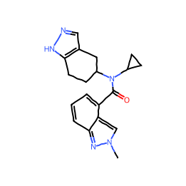 Cn1cc2c(C(=O)N(C3CC3)C3CCc4[nH]ncc4C3)cccc2n1